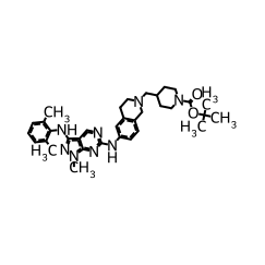 Cc1cccc(C)c1Nc1nn(C)c2nc(Nc3ccc4c(c3)CCN(CC3CCN(C(=O)OC(C)(C)C)CC3)C4)ncc12